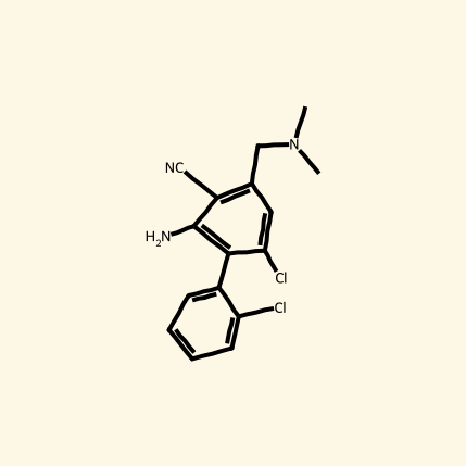 CN(C)Cc1cc(Cl)c(-c2ccccc2Cl)c(N)c1C#N